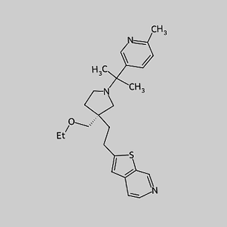 CCOC[C@]1(CCc2cc3ccncc3s2)CCN(C(C)(C)c2ccc(C)nc2)C1